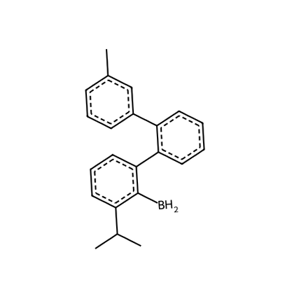 Bc1c(-c2ccccc2-c2cccc(C)c2)cccc1C(C)C